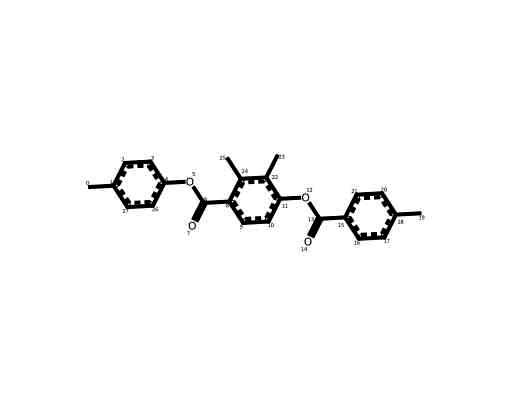 Cc1ccc(OC(=O)c2ccc(OC(=O)c3ccc(C)cc3)c(C)c2C)cc1